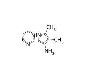 Cc1[nH]cc(N)c1C.c1ccncc1